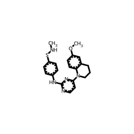 CNSc1ccc(Nc2nccc(N3CCCc4cc(OC)ccc43)n2)cc1